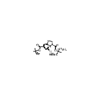 CCCCCCC(C)(CCCCC)OC(=O)C1CSc2cc(C(=O)OC(C)(C)CCC)cc(=O)n21